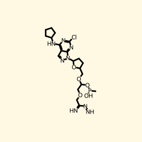 CP(O)OC(COCC(=N)N=N)OCC1CCC(n2ncc3c(NC4CCCC4)nc(Cl)nc32)O1